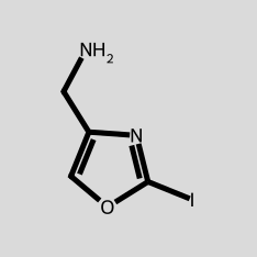 NCc1coc(I)n1